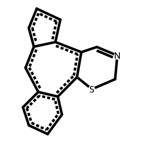 C1=NCSc2c1c1cccc-1cc1ccccc21